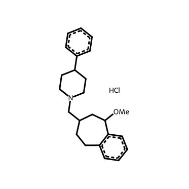 COC1CC(CN2CCC(c3ccccc3)CC2)CCc2ccccc21.Cl